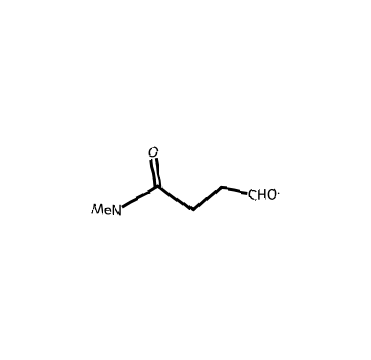 CNC(=O)CC[C]=O